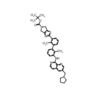 Cc1c(Nc2nccc3cc(CN4CCCC4)cnc23)cccc1-c1cccc(-c2nc3c(s2)CN(C(=O)OC(C)(C)C)C3)c1C